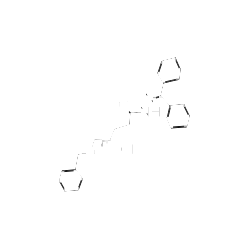 O=C(CC[C@@H](O)COCc1ccccc1)NN=C(c1ccccc1)c1ccccc1